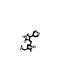 Cc1[nH]c(C=C2C(=O)NN=C2c2ccnnc2)cc1CN(C)C